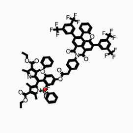 CCOC(=O)C1=C(C)/C(=C(\c2c(Oc3ccccc3)cc(OC(=O)Cc3ccc(-n4c(=O)c5cc(-c6cc(C(F)(F)F)cc(C(F)(F)F)c6)c6oc7ccccc7c7c(-c8cc(C(F)(F)F)cc(C(F)(F)F)c8)cc(c4=O)c5c67)cc3)cc2Oc2ccccc2)c2c(C)c(C(=O)OCC)c(C)n2B(F)F)N=C1C